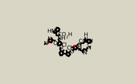 C/N=C/c1cncc(COc2cc(OCc3cccc(-c4cccc(COc5cc(OCc6cncc(/C=N/C)c6)c(CNC(Cc6c[nH]c7ccccc67)C(=O)O)cc5Cl)c4C)c3C)c(Cl)cc2CNC(Cc2c[nH]c3ccccc23)C(=O)O)c1